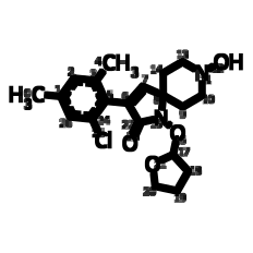 Cc1cc(C)c(C2=CC3(CCN(O)CC3)N(OC3CCCO3)C2=O)c(Cl)c1